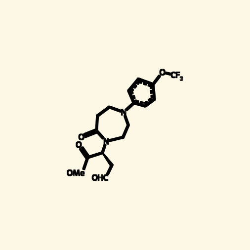 COC(=O)[C@H](CC=O)N1CCN(c2ccc(OC(F)(F)F)cc2)CCC1=O